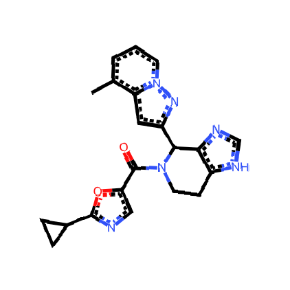 Cc1cccn2nc(C3c4nc[nH]c4CCN3C(=O)c3cnc(C4CC4)o3)cc12